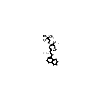 CC(C)(O)CC[C@H](C[C@H](O)[C@@H](N)Cc1cccc2ccccc12)C(N)=O